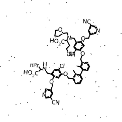 CCCC(NCc1cc(Cl)c(OCc2cccc(-c3cccc(COc4cc(OCc5cncc(C#N)c5)c(CN(CC5CCCO5)C(CCO)C(=O)O)cc4Cl)c3C)c2C)cc1OCc1cncc(C#N)c1)C(=O)O